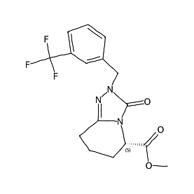 COC(=O)[C@@H]1CCCc2nn(Cc3cccc(C(F)(F)F)c3)c(=O)n21